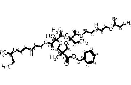 CCC(C)OCCNCCOC(=O)C(O)(CC)OCC(C)(COC(C)(CC)C(=O)OCCNCCOC(Br)CC)C(=O)OCc1ccccc1